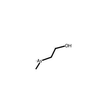 C[As]CCO